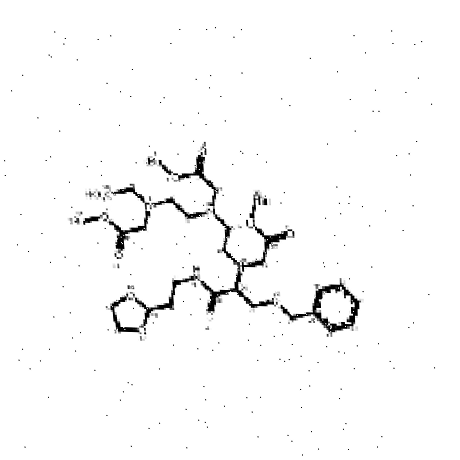 CC(C)(C)OC(=O)CN(CCN(CC(=O)O)CC(=O)OC(C)(C)C)CCN(CC(=O)OC(C)(C)C)C(COCc1ccccc1)C(=O)NCCC1OCCO1